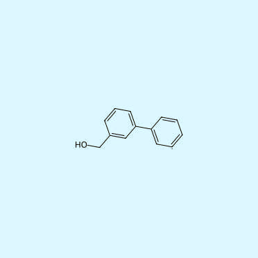 OCc1cccc(-c2c[c]ccc2)c1